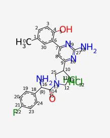 Cc1ccc(O)c(-c2cc(C3CCN(C(=O)[C@H](N)c4ccc(F)cc4)C3)nc(N)n2)c1.Cl.Cl